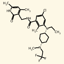 CCN(c1cc(Cl)cc(C(=O)NCc2c(C)cc(C)[nH]c2=O)c1C)[C@H]1CC[C@@H](N(C)CC(F)(F)F)CC1